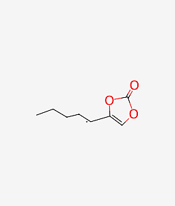 CCCC[CH]c1coc(=O)o1